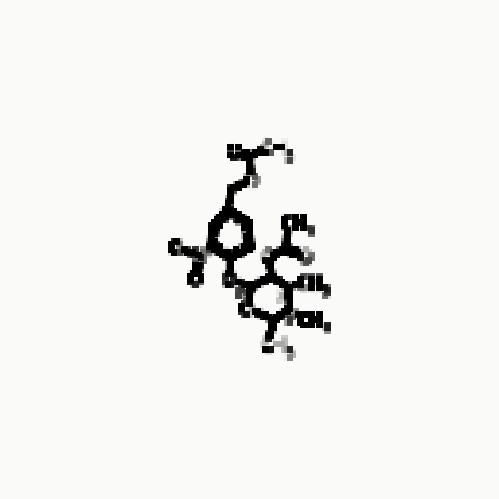 CC(=O)OCc1ccc(O[C@@H]2OC(C)[C@@H](C)[C@H](C)C2OC(C)=O)c([N+](=O)[O-])c1